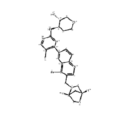 CC(C)c1c(CN2C[C@H]3C[C@@H]2CO3)cnc2ccc(-c3nc(N[C@@H]4CCOC[C@H]4O)ncc3F)cc12